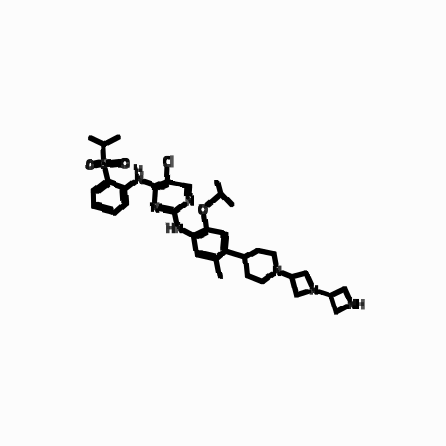 Cc1cc(Nc2ncc(Cl)c(Nc3ccccc3S(=O)(=O)C(C)C)n2)c(OC(C)C)cc1C1CCN(C2CN(C3CNC3)C2)CC1